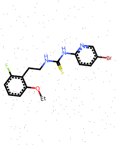 CCOc1cccc(F)c1CCNC(=S)Nc1ccc(Br)cn1